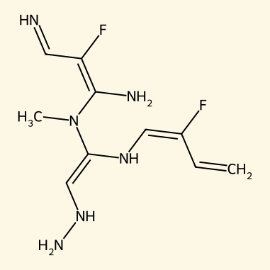 C=C/C(F)=C\N/C(=C\NN)N(C)/C(N)=C(/F)C=N